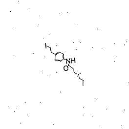 CCCCCCC(=O)Nc1ccc(CCI)cc1